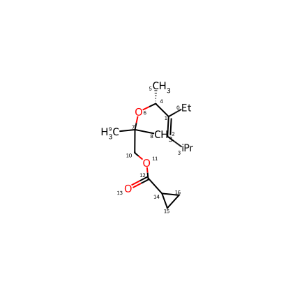 CCC(=CC(C)C)[C@@H](C)OC(C)(C)COC(=O)C1CC1